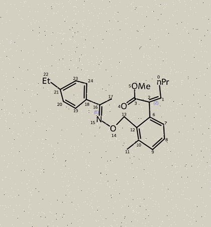 CCC/C=C(\C(=O)OC)c1cccc(C)c1CO/N=C(\C)c1ccc(CC)cc1